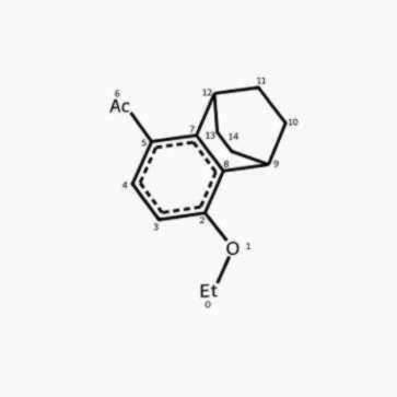 CCOc1ccc(C(C)=O)c2c1C1CCC2CC1